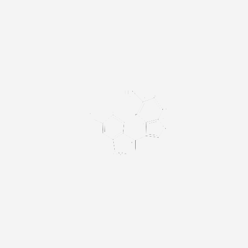 COc1cc(C(=O)O)ccc1C(C)c1c[nH]c2ccc(N)cc12